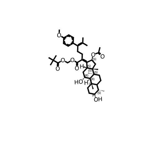 COc1ccc(C(CCC(C(=O)OCOC(=O)C(C)(C)C)=C2[C@@H](OC(C)=O)C[C@@]3(C)[C@@H]2C[C@@H](O)[C@@H]2[C@@]4(C)CC[C@@H](O)[C@@H](C)C4CC[C@@]23C)=C(C)C)cc1